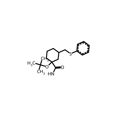 CC(C)(C)OC1(C([NH])=O)CCCC(CSc2ccccc2)C1